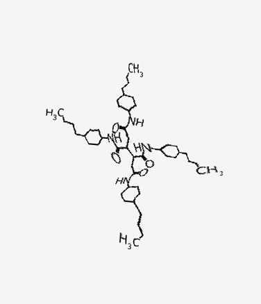 CCCCC1CCC(NC(=O)CC(C(=O)NC2CCC(CCCC)CC2)C(CC(=O)NC2CCC(CCCC)CC2)C(=O)NC2CCC(CCCC)CC2)CC1